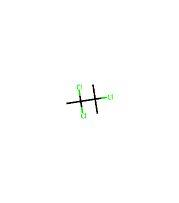 CC(C)(Cl)C(C)(Cl)Cl